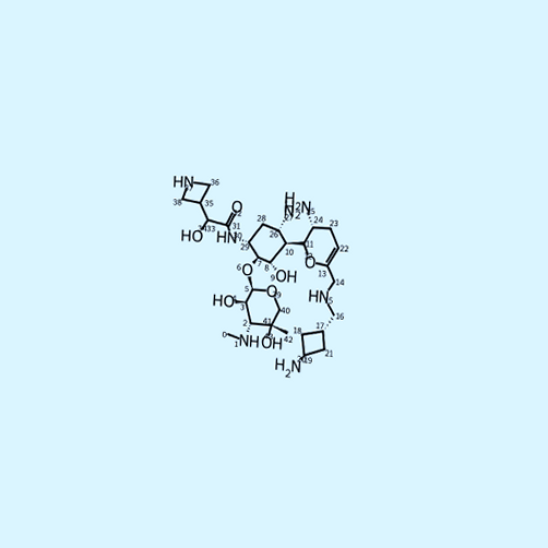 CN[C@@H]1[C@@H](O)[C@@H](O[C@@H]2[C@@H](O)[C@H](C3OC(CNC[C@H]4C[C@H](N)C4)=CC[C@H]3N)[C@@H](N)C[C@H]2NC(=O)C(O)C2CNC2)OC[C@]1(C)O